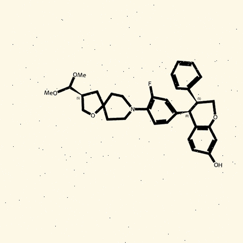 COC(OC)[C@@H]1COC2(CCN(c3ccc([C@@H]4c5ccc(O)cc5OC[C@@H]4c4ccccc4)cc3F)CC2)C1